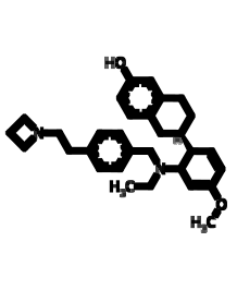 CCN(Cc1ccc(CCN2CCC2)cc1)C1C=C(OC)C=CC1[C@@H]1CCc2cc(O)ccc2C1